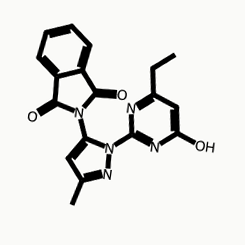 CCc1cc(O)nc(-n2nc(C)cc2N2C(=O)c3ccccc3C2=O)n1